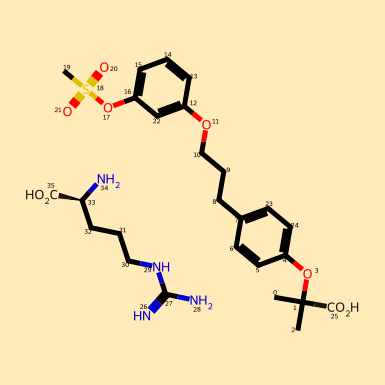 CC(C)(Oc1ccc(CCCOc2cccc(OS(C)(=O)=O)c2)cc1)C(=O)O.N=C(N)NCCC[C@H](N)C(=O)O